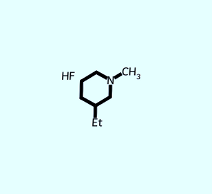 CCC1CCCN(C)C1.F